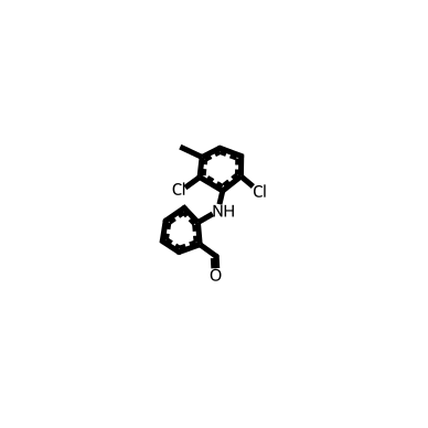 Cc1ccc(Cl)c(Nc2ccccc2C=O)c1Cl